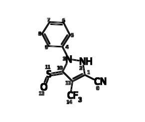 N#Cc1[nH]n(-c2ccccc2)c(=S=O)c1C(F)(F)F